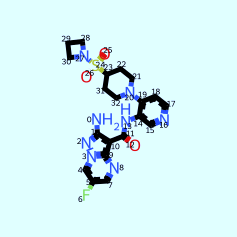 Nc1nn2cc(F)cnc2c1C(=O)Nc1cnccc1N1CCC(S(=O)(=O)N2CCC2)CC1